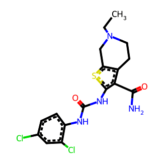 CCN1CCc2c(sc(NC(=O)Nc3ccc(Cl)cc3Cl)c2C(N)=O)C1